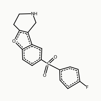 O=S(=O)(c1ccc(F)cc1)c1ccc2oc3c(c2c1)CNCC3